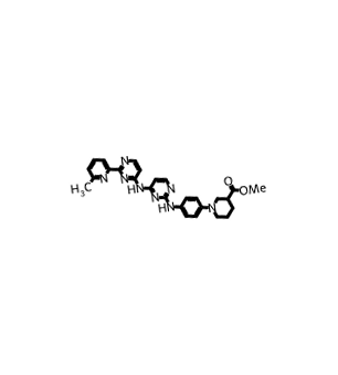 COC(=O)C1CCCN(c2ccc(Nc3nccc(Nc4ccnc(-c5cccc(C)n5)n4)n3)cc2)C1